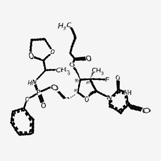 CCCC(=O)O[C@@H]1[C@@H](COP(=O)(NC(C)C2OCCO2)Oc2ccccc2)OC(n2ccc(=O)[nH]c2=O)[C@]1(C)F